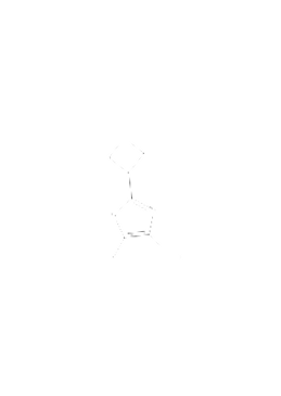 Cc1nc(C2COC2)[nH]c1I